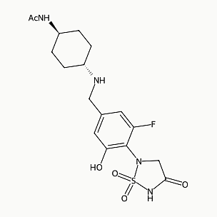 CC(=O)N[C@H]1CC[C@H](NCc2cc(O)c(N3CC(=O)NS3(=O)=O)c(F)c2)CC1